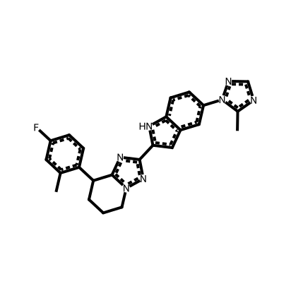 Cc1cc(F)ccc1C1CCCn2nc(-c3cc4cc(-n5ncnc5C)ccc4[nH]3)nc21